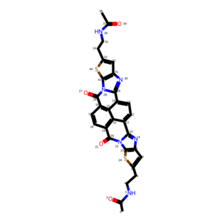 CC(=O)NCCc1cc2nc3c4ccc5c6c(ccc(c(=O)n3c2s1)c46)c(=O)n1c5nc2cc(CCNC(C)=O)sc21